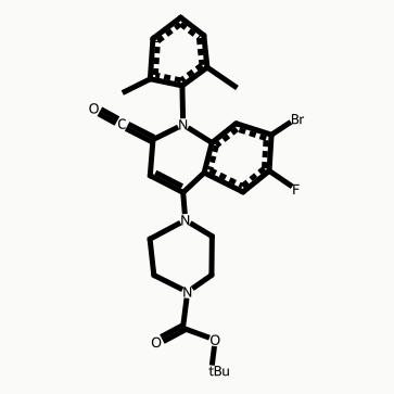 Cc1cccc(C)c1N1C(=C=O)C=C(N2CCN(C(=O)OC(C)(C)C)CC2)c2cc(F)c(Br)cc21